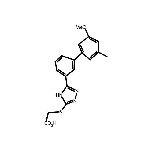 COc1cc(C)cc(-c2cccc(-c3nnc(SCC(=O)O)[nH]3)c2)c1